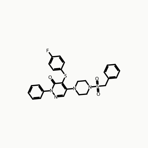 O=c1c(Sc2ccc(F)cc2)c(N2CCN(S(=O)(=O)Cc3ccccc3)CC2)cnn1-c1ccccc1